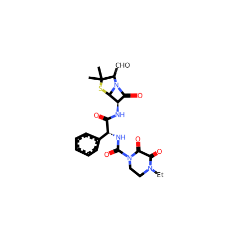 CCN1CCN(C(=O)N[C@@H](C(=O)N[C@@H]2C(=O)N3C2SC(C)(C)C3C=O)c2ccccc2)C(=O)C1=O